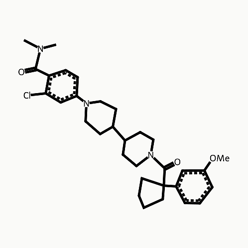 COc1cccc(C2(C(=O)N3CCC(C4CCN(c5ccc(C(=O)N(C)C)c(Cl)c5)CC4)CC3)CCCC2)c1